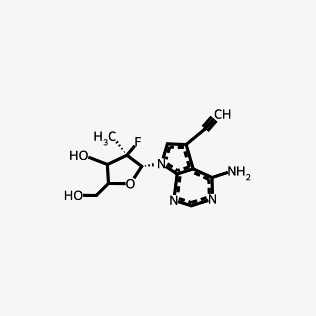 C#Cc1cn([C@@H]2OC(CO)C(O)[C@@]2(C)F)c2ncnc(N)c12